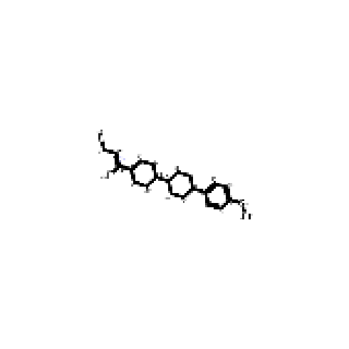 CCSc1ccc(C2CCC(C3CCC(/C(F)=C/CF)CC3)CC2)cc1